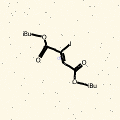 CCC(C)OC(=O)/C=C(\I)C(=O)OC(C)CC